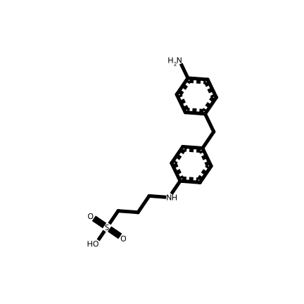 Nc1ccc(Cc2ccc(NCCCS(=O)(=O)O)cc2)cc1